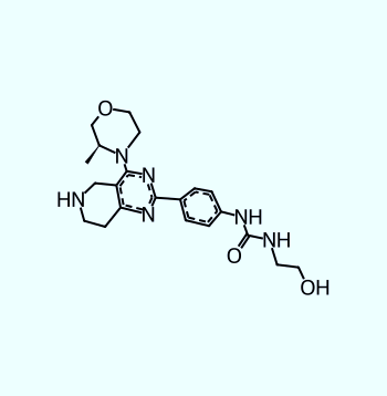 C[C@H]1COCCN1c1nc(-c2ccc(NC(=O)NCCO)cc2)nc2c1CNCC2